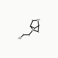 [O]CCN1CC2CC1CO2